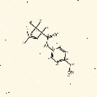 CC(C)=CC(C)(C(=O)Oc1ccc(CO)cc1)C(C)(C)C